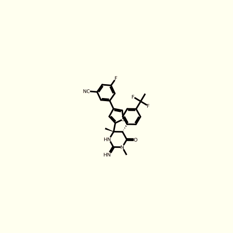 CN1C(=N)N[C@](C)(c2cc(-c3cc(F)cc(C#N)c3)cs2)[C@H](c2ccc(C(C)(F)F)cc2)C1=O